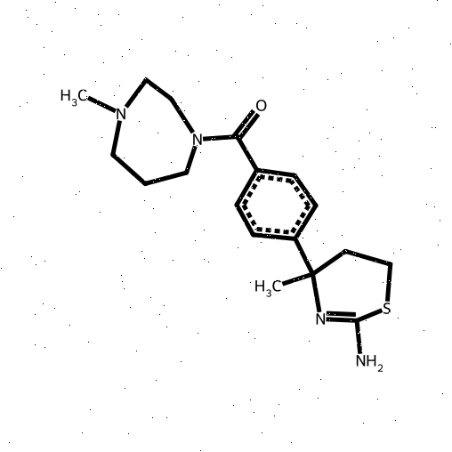 CN1CCCN(C(=O)c2ccc(C3(C)CCSC(N)=N3)cc2)CC1